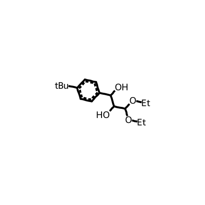 CCOC(OCC)C(O)C(O)c1ccc(C(C)(C)C)cc1